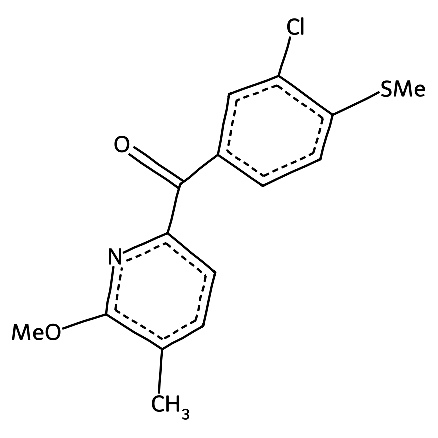 COc1nc(C(=O)c2ccc(SC)c(Cl)c2)ccc1C